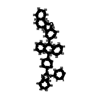 c1ccc(-n2c(-c3ccc(-c4c5ccccc5c(-c5ccc6oc7c8ccccc8ccc7c6c5)c5ccccc45)cc3)nc3ccccc32)cc1